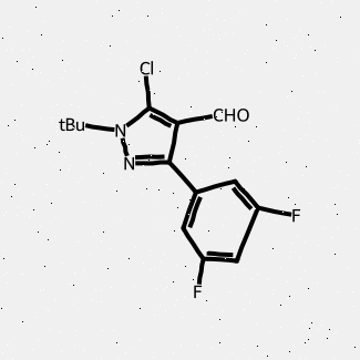 CC(C)(C)n1nc(-c2cc(F)cc(F)c2)c(C=O)c1Cl